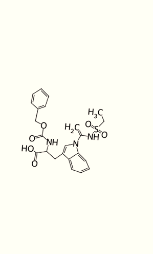 C=C(NS(=O)(=O)CC)n1cc(CC(NC(=O)OCc2ccccc2)C(=O)O)c2ccccc21